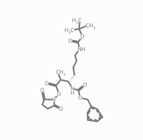 CC(C(=O)ON1C(=O)CCC1=O)[C@H](CCCCNC(=O)OC(C)(C)C)NC(=O)OCc1ccccc1